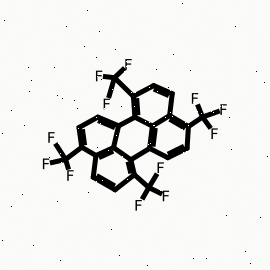 FC(F)(F)c1ccc2c3c(C(F)(F)F)ccc4c(C(F)(F)F)ccc(c5c(C(F)(F)F)ccc1c25)c43